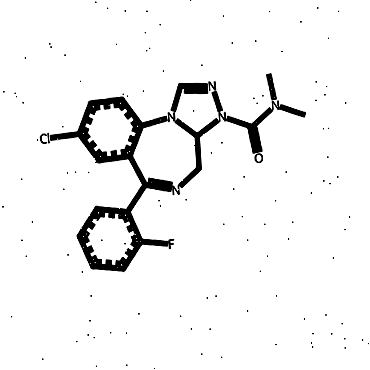 CN(C)C(=O)N1N=CN2c3ccc(Cl)cc3C(c3ccccc3F)=NCC12